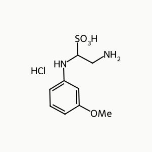 COc1cccc(NC(CN)S(=O)(=O)O)c1.Cl